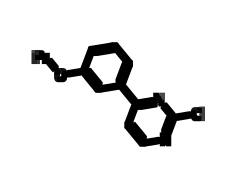 CC(C)Oc1cccc(-c2ccnc(Cl)n2)c1